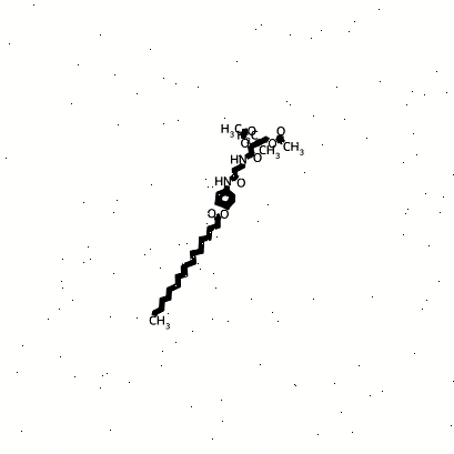 CCCCCCCCC=CCCCCCCCC(=O)Oc1ccc(NC(=O)CCNC(=O)C(OC(C)=O)C(C)(C)COC(C)=O)cc1